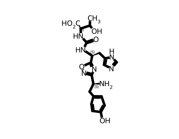 CC(O)[C@H](NC(=O)N[C@@H](Cc1cnc[nH]1)c1nc([C@@H](N)Cc2ccc(O)cc2)no1)C(=O)O